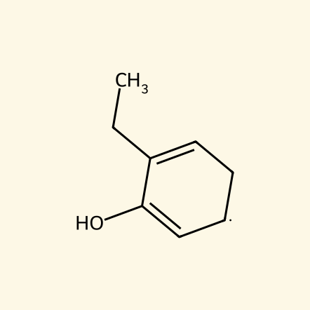 CCC1=CC[CH]C=C1O